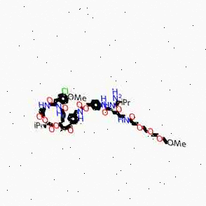 COCCOCCOCCOCCC(=O)NCCCC[C@H](NC(=O)[C@@H](N)C(C)C)C(=O)Nc1ccc(COC(=O)NCc2ccc([C@H]3O[C@@H]3[C@@H](C)[C@@H]3C/C=C/C(=O)NC(Cc4ccc(OC)c(Cl)c4)C(=O)NCC(C)(C)C(=O)O[C@@H](CC(C)C)C(=O)O3)cc2)cc1